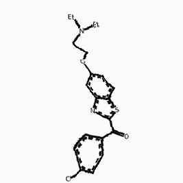 CCN(CC)CCOc1ccc2sc(C(=O)c3ccc(Cl)cc3)nc2c1